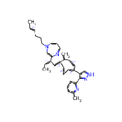 C=C1\C=C/C(c2c[nH]nc2-c2cccc(C)n2)=C/C=C/C1=C/C(=C\C)C1=CN(CCC/C=C/C)C=CC=N1